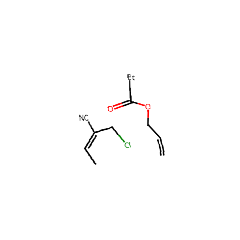 C=CCOC(=O)CC.CC=C(C#N)CCl